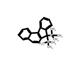 C[Si](C)(C)C1([Si](C)(C)C)c2ccccc2-c2c1ccc1ccccc21